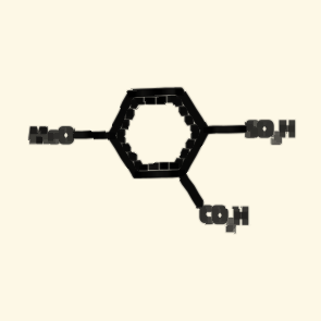 COc1ccc(S(=O)(=O)O)c(C(=O)O)c1